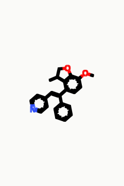 COc1ccc(C(=Cc2ccncc2)c2ccccc2)c2c1OCC2C